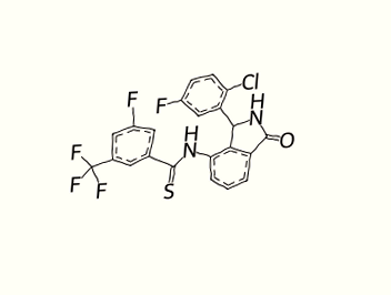 O=C1NC(c2cc(F)ccc2Cl)c2c(NC(=S)c3cc(F)cc(C(F)(F)F)c3)cccc21